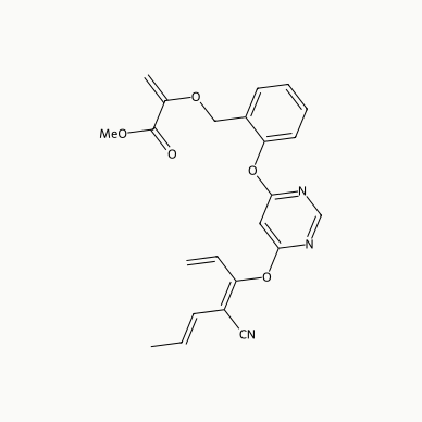 C=C/C(Oc1cc(Oc2ccccc2COC(=C)C(=O)OC)ncn1)=C(C#N)\C=C\C